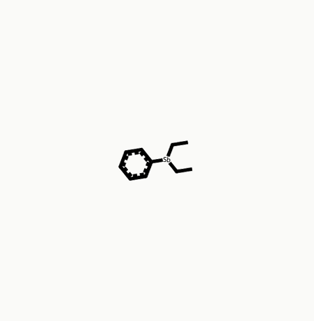 C[CH2][Sb]([CH2]C)[c]1ccccc1